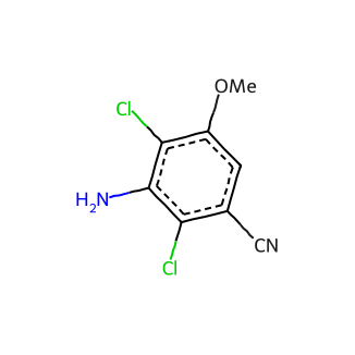 COc1cc(C#N)c(Cl)c(N)c1Cl